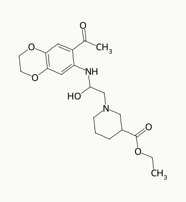 CCOC(=O)C1CCCN(CC(O)Nc2cc3c(cc2C(C)=O)OCCO3)C1